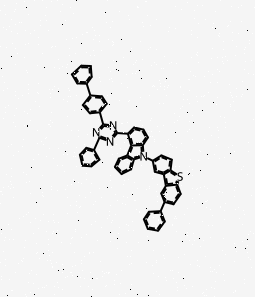 c1ccc(-c2ccc(-c3nc(-c4ccccc4)nc(-c4cccc5c4c4ccccc4n5-c4ccc5sc6ccc(-c7ccccc7)cc6c5c4)n3)cc2)cc1